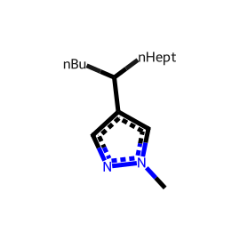 CCCCCCCC(CCCC)c1cnn(C)c1